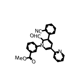 COC(=O)c1cccc(N2C=C(c3ccccn3)C=C(c3ccccc3C#N)C2C=O)c1